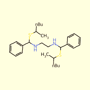 CCCCC(C)SC(NCCNC(SC(C)CCCC)c1ccccc1)c1ccccc1